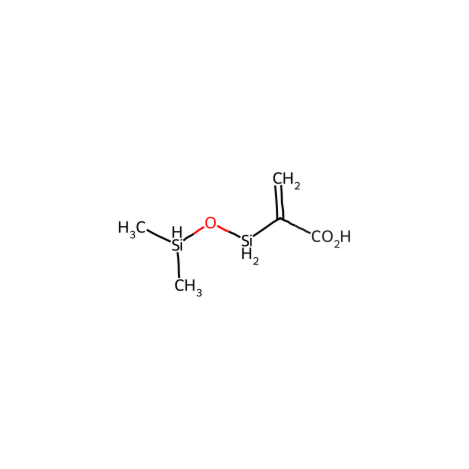 C=C([SiH2]O[SiH](C)C)C(=O)O